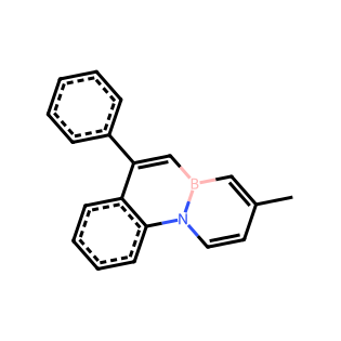 CC1=CB2C=C(c3ccccc3)c3ccccc3N2C=C1